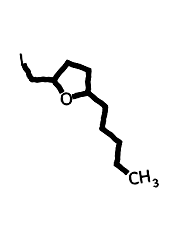 CCCCCC1CCC(CI)O1